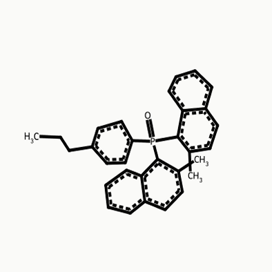 CCCc1ccc(P(=O)(c2c(C)ccc3ccccc23)c2c(C)ccc3ccccc23)cc1